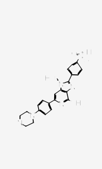 Cc1nc(-c2ccc(N3CCNCC3)cc2)cc2c1nc(-c1ccc(S(C)(=O)=O)cc1)n2C